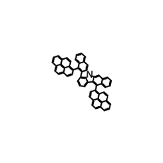 c1ccc2c(-c3ccc4ccc5cccc6ccc3c4c56)c3c4cccc5c6c(-c7ccc8ccc9cccc%10ccc7c8c9%10)c7ccccc7cc6n(c3cc2c1)c45